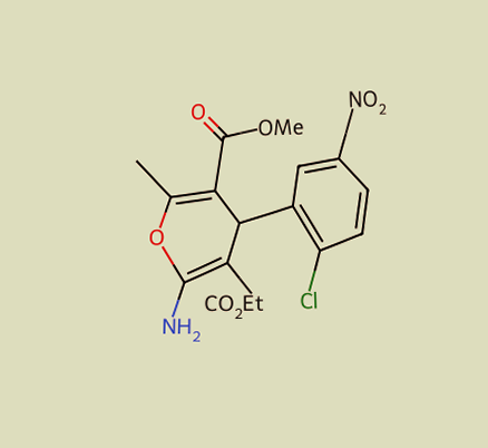 CCOC(=O)C1=C(N)OC(C)=C(C(=O)OC)C1c1cc([N+](=O)[O-])ccc1Cl